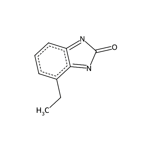 CCc1cccc2c1=NC(=O)N=2